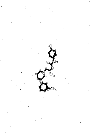 O=C(Nc1ccc(Cl)cc1)O[C@@H](CN1CCC[C@H](c2cccc(C(F)(F)F)c2)C1)C(F)(F)F